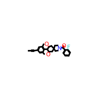 CC#Cc1cc(C)c(C2C(=O)CC3(CCN(C(=O)c4ccccc4F)CC3)CC2=O)c(C)c1